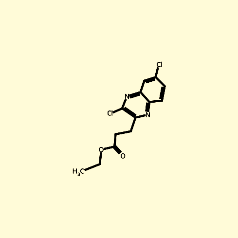 CCOC(=O)CCc1nc2ccc(Cl)cc2nc1Cl